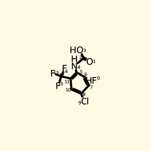 F.O=C(O)Nc1ccc(Cl)cc1C(F)(F)F